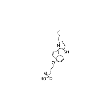 CCCCc1ncc(S)c(-n2ccc3c(OCCCS(=O)(=O)O)cccc32)n1